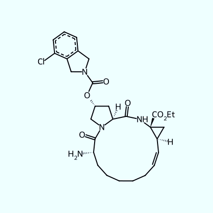 CCOC(=O)[C@@]12C[C@H]1/C=C\CCCCC[C@H](N)C(=O)N1C[C@H](OC(=O)N3Cc4cccc(Cl)c4C3)C[C@H]1C(=O)N2